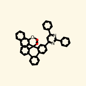 c1ccc(-c2cc(-c3ccc4c(c3)C3(c5ccccc5Oc5c3ccc3ccccc53)c3ccccc3-c3ccccc3-4)nc(-c3ccccc3)n2)cc1